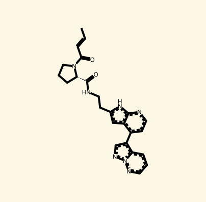 C/C=C/C(=O)N1CCC[C@H]1C(=O)NCCc1cc2c(-c3cnn4ncccc34)ccnc2[nH]1